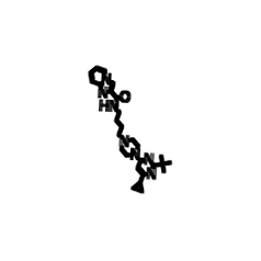 CC(C)(C)c1nc(C2CC2)cc(N2CCN(CCCCNC(=O)c3cn4ccccc4n3)CC2)n1